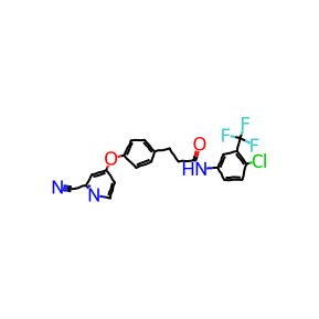 N#Cc1cc(Oc2ccc(CCC(=O)Nc3ccc(Cl)c(C(F)(F)F)c3)cc2)ccn1